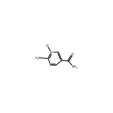 NC(=O)c1ccc(N)[n+]([O-])c1